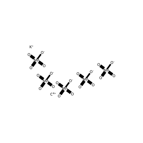 [C+4].[K+].[O]=[Mn](=[O])(=[O])[O-].[O]=[Mn](=[O])(=[O])[O-].[O]=[Mn](=[O])(=[O])[O-].[O]=[Mn](=[O])(=[O])[O-].[O]=[Mn](=[O])(=[O])[O-]